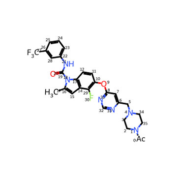 CC(=O)N1CCN(Cc2cc(Oc3ccc4c(cc(C)n4C(=O)Nc4cccc(C(F)(F)F)c4)c3F)ncn2)CC1